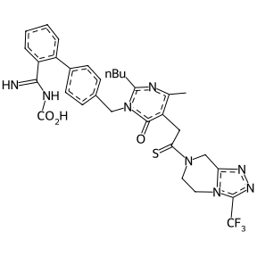 CCCCc1nc(C)c(CC(=S)N2CCn3c(nnc3C(F)(F)F)C2)c(=O)n1Cc1ccc(-c2ccccc2C(=N)NC(=O)O)cc1